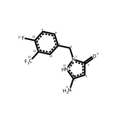 Nc1cc(=O)n(Cc2ccc(F)c(C(F)(F)F)c2)[nH]1